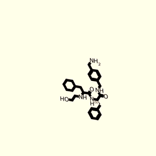 NCc1ccc(CNC(=O)[C@H](Cc2ccccc2)NC(=O)C(CC2CCCCC2)NCCO)cc1